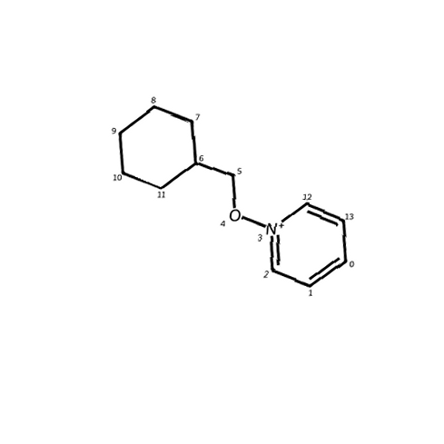 c1cc[n+](OCC2CCCCC2)cc1